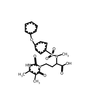 Cc1[nH]c(=O)n(CCC(C(=O)O)N(C)S(=O)(=O)c2ccc(Oc3ccccc3)cc2)c(=O)c1C